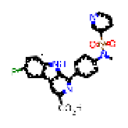 CN(c1ccc(-c2nc(C(=O)O)cc3c2[nH]c2ccc(F)cc23)cc1)S(=O)(=O)c1cccnc1